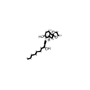 CCCCCCC[C@H](O)C#C[C@@H]1[C@@H](O)CC[C@]2(C)[C@H]1CC21OCCO1